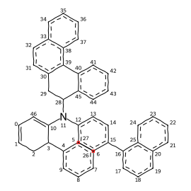 C1=CCC(c2ccccc2)C(N(c2ccc(-c3cccc4ccccc34)cc2)C2Cc3ccc4ccccc4c3-c3ccccc32)=C1